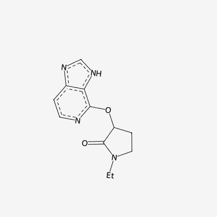 CCN1CCC(Oc2nccc3nc[nH]c23)C1=O